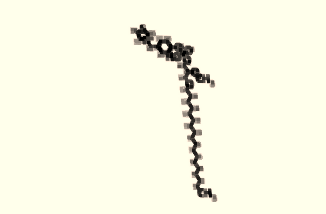 CCCCCCCCCCCCCCCCCCOCC(COP(=O)(O)Oc1ccc(C[n+]2ccsc2)cc1)OC